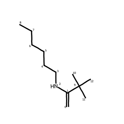 C=C(NCCCCCC)C(C)(C)C